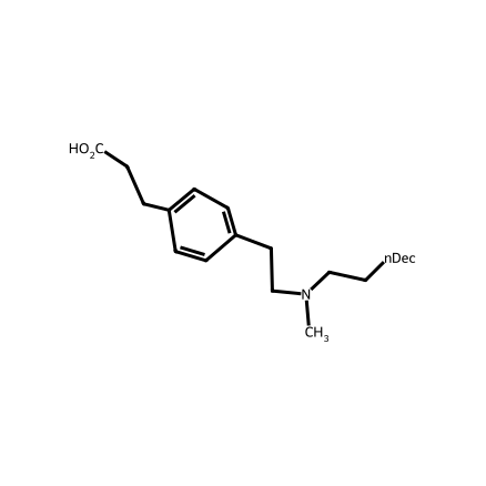 CCCCCCCCCCCCN(C)CCc1ccc(CCC(=O)O)cc1